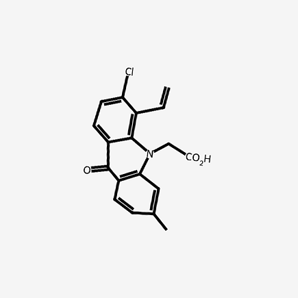 C=Cc1c(Cl)ccc2c(=O)c3ccc(C)cc3n(CC(=O)O)c12